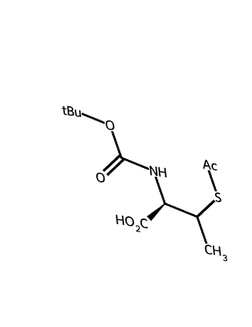 CC(=O)SC(C)[C@H](NC(=O)OC(C)(C)C)C(=O)O